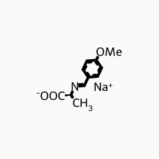 COc1ccc(C=N[C@@H](C)C(=O)[O-])cc1.[Na+]